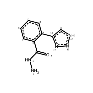 NNC(=O)c1ccccc1-c1c[nH]nn1